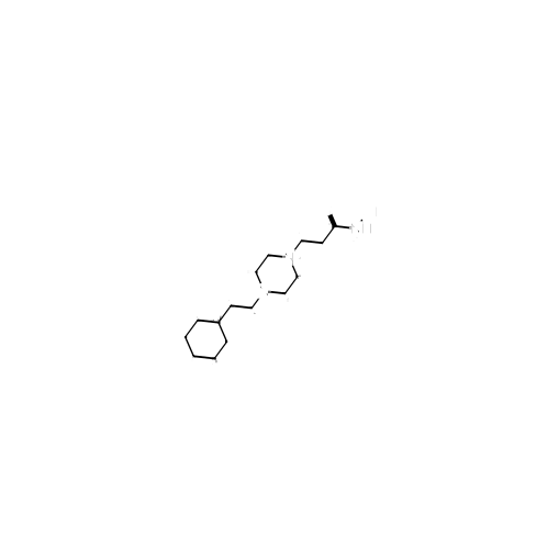 O=C(CCN1CCN(CCC2CCCCC2)CC1)NO